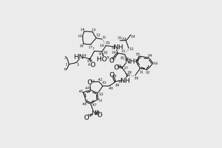 CC(C)CNC(=O)C[C@H](O)[C@H](CC1CCCCC1)NC(=O)[C@H](CC(C)C)NC(=O)[C@H](Cc1ccccc1)NC(=O)CC1COc2ccc([N+](=O)[O-])cc21